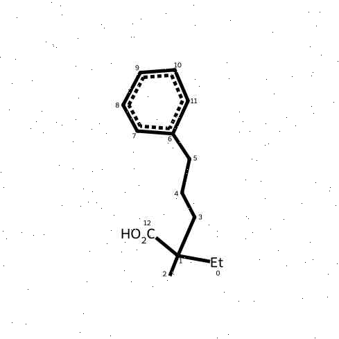 CCC(C)(CCCc1ccccc1)C(=O)O